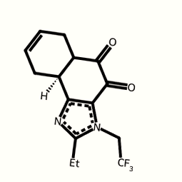 CCc1nc2c(n1CC(F)(F)F)C(=O)C(=O)C1CC=CC[C@H]21